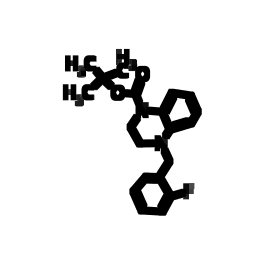 CC(C)(C)OC(=O)N1CCN(Cc2ccccc2F)c2ccccc21